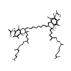 CC(=O)Oc1c(C)c(C)c2c(c1C)CC(CCCCCCCCC1Cc3c(C)c(OC(C)=O)c(C)c(C)c3OC1(C)CCCC(C)CCCC(C)CCCC(C)C)C(C)(CCCC(C)CCCC(C)CCCC(C)C)O2